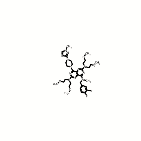 COCCN(CCOC)c1nc(N2CCN(c3ncn(C)n3)CC2)c2nc(N(CCOC)CCOC)nc(N(C)Cc3ccc(F)c(F)c3)c2n1